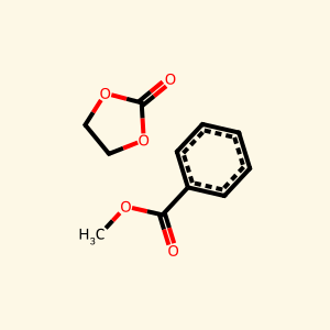 COC(=O)c1ccccc1.O=C1OCCO1